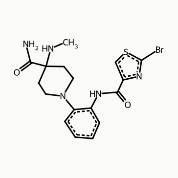 CNC1(C(N)=O)CCN(c2ccccc2NC(=O)c2csc(Br)n2)CC1